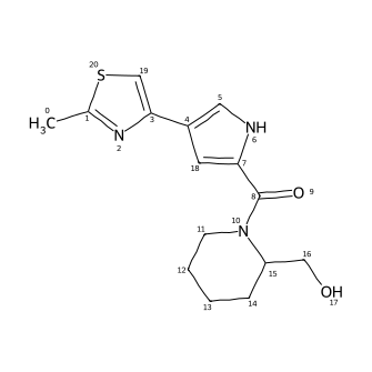 Cc1nc(-c2c[nH]c(C(=O)N3CCCCC3CO)c2)cs1